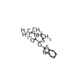 CSC(Oc1nc2ccccc2s1)C(=O)NC(C)(C)C